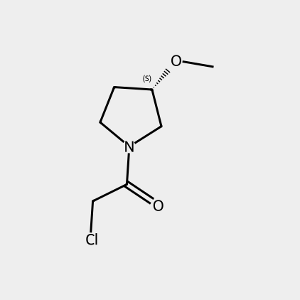 CO[C@H]1CCN(C(=O)CCl)C1